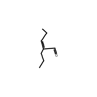 CCC=C(C=O)CCC